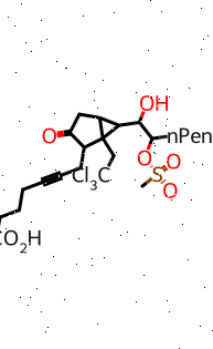 CCCCCC(OS(C)(=O)=O)C(O)C1C2CC(=O)C(CC#CCCCC(=O)O)C21CC(Cl)(Cl)Cl